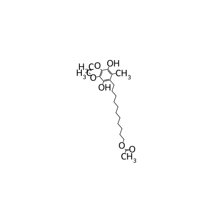 COc1c(O)c(C)c(CCCCCCCCCCCOC(C)=O)c(O)c1OC